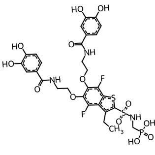 CCc1c(S(=O)(=O)NCP(=O)(O)O)sc2c(F)c(OCCNC(=O)c3ccc(O)c(O)c3)c(OCCNC(=O)c3ccc(O)c(O)c3)c(F)c12